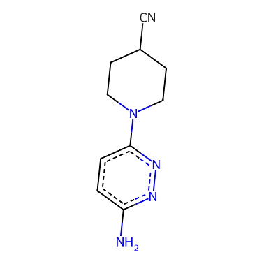 N#CC1CCN(c2ccc(N)nn2)CC1